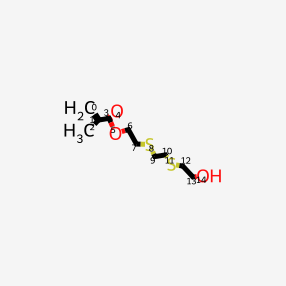 C=C(C)C(=O)OCCSCCSCCO